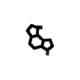 c1cc2c(ccc3cc[nH]c32)[nH]1